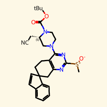 C[S+]([O-])c1nc2c(c(N3CCN(C(=O)OC(C)(C)C)[C@@H](CC#N)C3)n1)CCC1(C=Cc3ccccc31)C2